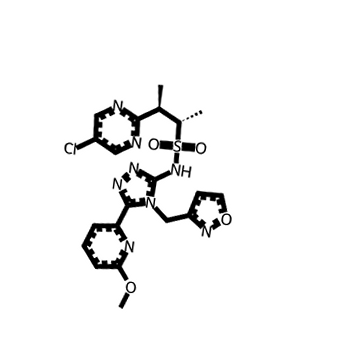 COc1cccc(-c2nnc(NS(=O)(=O)[C@@H](C)[C@H](C)c3ncc(Cl)cn3)n2Cc2ccon2)n1